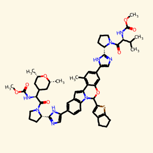 COC(=O)N[C@H](C(=O)N1CCC[C@H]1c1ncc(-c2cc(C)c3c(c2)OC(c2cc4c(s2)CCC4)n2c-3cc3cc(-c4cnc([C@@H]5CCCN5C(=O)[C@@H](NC(=O)OC)C5C[C@@H](C)O[C@@H](C)C5)[nH]4)ccc32)[nH]1)C(C)C